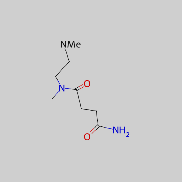 CNCCN(C)C(=O)CCC(N)=O